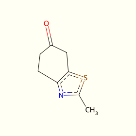 Cc1nc2c(s1)CC(=O)CC2